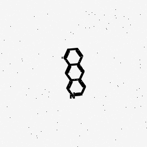 [c]1cccc2cc3ccncc3cc12